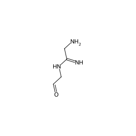 N=C(CN)NCC=O